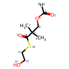 [2H]C(=O)OCC(C)(C)C(=O)SCCO